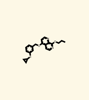 CCCOc1nccc2c(OCc3cccc(SC4CC4)c3)ccnc12